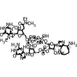 CCN(C)C(=O)CC1[C@@H](O)C(n2c[n+](C)c3c(=O)[nH]c(N)nc32)O[C@@H]1COP(=O)(O)OP(=O)(O)OP(=O)(O)OC[C@H]1O[C@@H](n2cnc3c2/N=C\CC/C=C\3N)[C@H](OC)[C@@H]1OP(=O)([O-])OC[C@H]1O[C@@H](n2cnc3c(=O)[nH]c(N)nc32)[C@H](O)[C@@H]1O